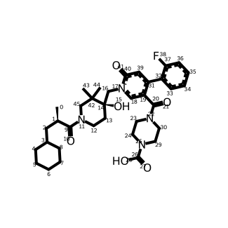 C[C@H](CC1CCCCC1)C(=O)N1CC[C@@](O)(Cn2cc(C(=O)N3CCN(C(=O)O)CC3)c(-c3ccccc3F)cc2=O)C(C)(C)C1